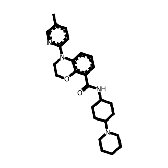 Cc1ccc(N2CCOc3c(C(=O)NC4CCC(N5CCCCC5)CC4)cccc32)nc1